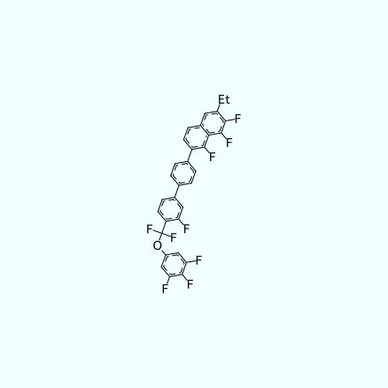 CCc1cc2ccc(-c3ccc(-c4ccc(C(F)(F)Oc5cc(F)c(F)c(F)c5)c(F)c4)cc3)c(F)c2c(F)c1F